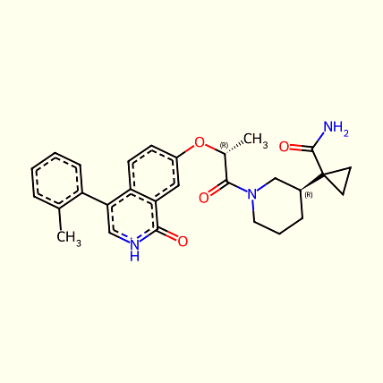 Cc1ccccc1-c1c[nH]c(=O)c2cc(O[C@H](C)C(=O)N3CCC[C@H](C4(C(N)=O)CC4)C3)ccc12